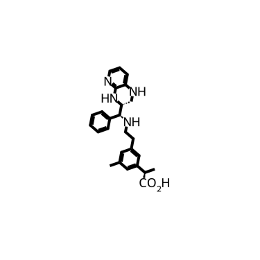 Cc1cc(CCN[C@H](c2ccccc2)[C@H]2CNc3cccnc3N2)cc([C@@H](C)C(=O)O)c1